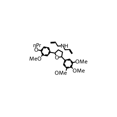 C=CCNCC=C.CCCOc1ccc(C2CCC(c3cc(OC)c(OC)c(OC)c3)O2)cc1OC